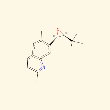 Cc1ccc2cc(C)c([C@H]3O[C@H]3C(C)(C)C)cc2n1